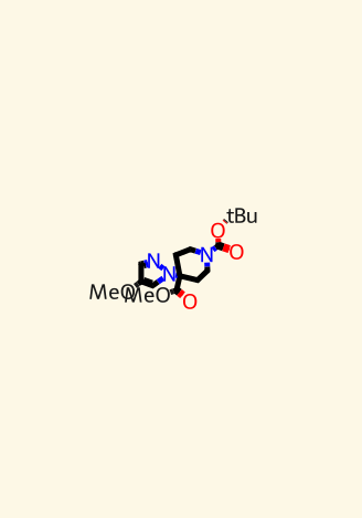 COC(=O)C1(n2cc(OC)cn2)CCN(C(=O)OC(C)(C)C)CC1